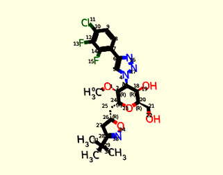 CO[C@@H]1[C@@H](n2cc(-c3ccc(Cl)c(F)c3F)nn2)[C@@H](O)[C@@H](CO)O[C@@H]1C[C@H]1CC(C(C)(C)C)=NO1